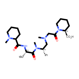 CC(C)[C@@H](CN(C)CC(=O)N1CCCC[C@H]1C(=O)O)N(C)C(=O)[C@@H](NC(=O)C1CCCCN1C)C(C)(C)C